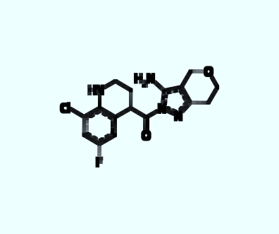 Nc1c2c(nn1C(=O)C1CCNc3c(Cl)cc(F)cc31)CCOC2